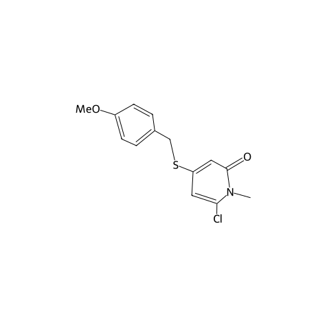 COc1ccc(CSc2cc(Cl)n(C)c(=O)c2)cc1